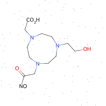 O=NC(=O)CN1CCN(CCO)CCN(CC(=O)O)CC1